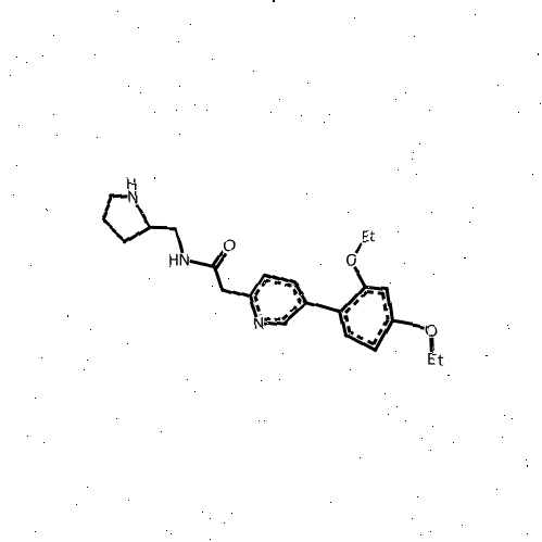 CCOc1ccc(-c2ccc(CC(=O)NCC3CCCN3)nc2)c(OCC)c1